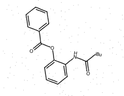 CCC(C)C(=O)Nc1ccccc1OC(=O)c1ccccc1